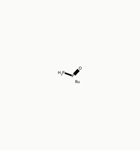 O=PP.[Ru]